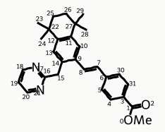 COC(=O)c1ccc(/C=C/c2cc3c(cc2Cc2ncccn2)C(C)(C)CCC3(C)C)cc1